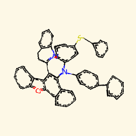 c1ccc(Sc2cccc(N(c3ccc(-c4ccccc4)cc3)c3c(C4=Nc5ccccc5C4)c4c5ccccc5oc4c4ccccc34)c2)cc1